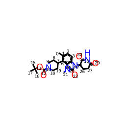 Cc1ccc2c(c1C1CCN(C(=O)OC(C)(C)C)CC1)n(C)c(=O)n2C1CCC(=O)NC1=O